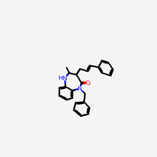 CC1Nc2ccccc2N(Cc2ccccc2)C(=O)C1CC=Cc1ccccc1